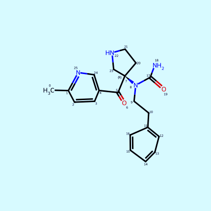 Cc1ccc(C(=O)[C@@]2(N(CCc3ccccc3)C(N)=O)CCNC2)cn1